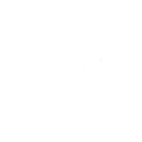 CCC(C#N)(CC)CCc1ccccc1